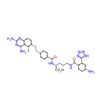 Nc1ccc(C(=O)NCCC[C@H](NC(=O)c2ccc(CCc3ccc4nc(N)nc(N)c4c3F)cc2)C(=O)O)c(-c2nnn[nH]2)c1